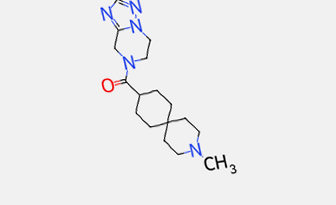 CN1CCC2(CCC(C(=O)N3CCn4ncnc4C3)CC2)CC1